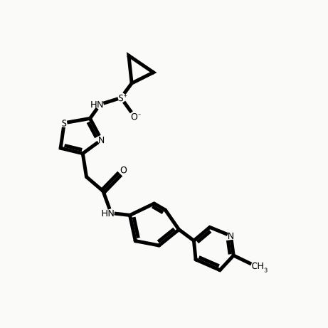 Cc1ccc(-c2ccc(NC(=O)Cc3csc(N[S+]([O-])C4CC4)n3)cc2)cn1